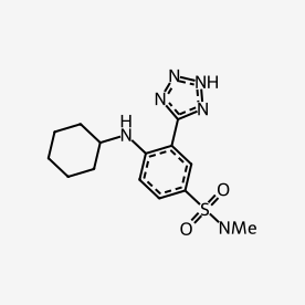 CNS(=O)(=O)c1ccc(NC2CCCCC2)c(-c2nn[nH]n2)c1